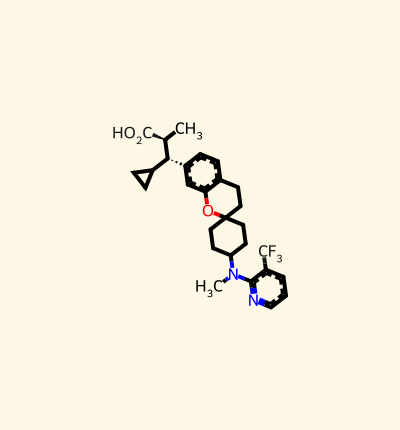 C[C@H](C(=O)O)[C@H](c1ccc2c(c1)OC1(CC2)CCC(N(C)c2ncccc2C(F)(F)F)CC1)C1CC1